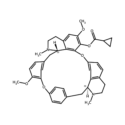 COc1ccc2cc1Oc1ccc(cc1)C[C@H]1c3cc(ccc3CCN1C)Oc1c(OC(=O)C3CC3)c(OC)cc3c1[C@H](C2)N(C)CC3